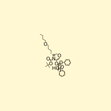 CCCCOCCCC[C@@H]1COC=C(O[PH](O)(Oc2ccccc2)Oc2ccccc2)N1C(=O)OC(C)(C)C